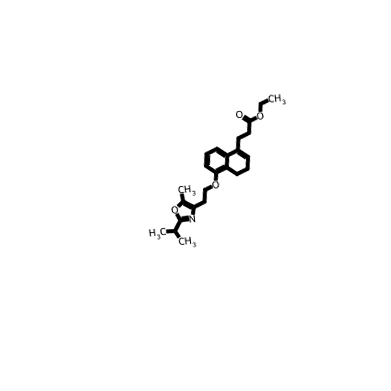 CCOC(=O)CCC1=CCCc2c(OCCc3nc(C(C)C)oc3C)cccc21